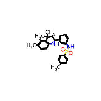 Cc1ccc(S(=O)(=O)Nc2cccc(C3CC(C)(C)c4cc(C)ccc4N3)c2)cc1